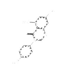 Cc1cc(O)cc2ncn(-c3ccc(O)cc3)c(=S)c12